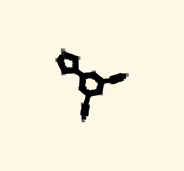 N#Cc1cc(C#N)cc(-c2c[c]oc2)c1